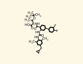 Cc1cc(CC2CC2)cc(C)c1NC(=O)Nc1cc(-c2ccc(F)c(F)c2)ccc1C(=O)N[C@H](C(=O)O)[C@@H](C)OC(C)(C)C